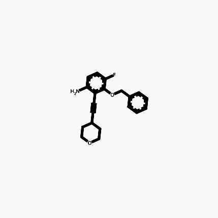 Nc1ccc(F)c(OCc2ccccc2)c1C#CC1CCOCC1